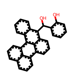 Oc1ccccc1C(O)c1c2ccccc2c2c3cccc4cccc(c5cccc1c52)c43